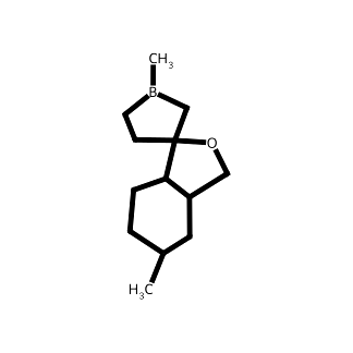 CB1CCC2(C1)OCC1CC(C)CCC12